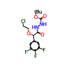 CC(C)(C)OC(=O)NNC(=O)C(OCCCl)c1cc(F)c(F)c(F)c1